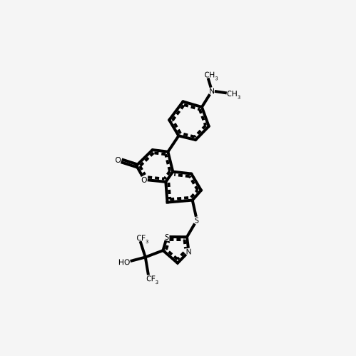 CN(C)c1ccc(-c2cc(=O)oc3cc(Sc4ncc(C(O)(C(F)(F)F)C(F)(F)F)s4)ccc23)cc1